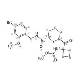 CC(C)(C)OC(=O)NC1(C(=O)N2CCC[C@@H](C(=O)NCc3ccc(Br)cc3OC(F)(F)F)C2)CCC1